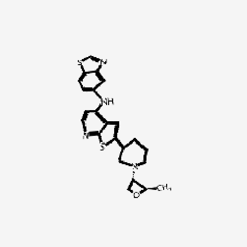 C[C@H]1OC[C@@H]1N1CCCC(c2cc3c(Nc4ccc5scnc5c4)ccnc3s2)C1